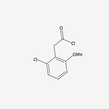 COc1cccc(Cl)c1CC(=O)Cl